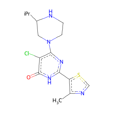 Cc1ncsc1-c1nc(N2CCNC(C(C)C)C2)c(Cl)c(=O)[nH]1